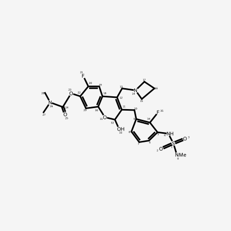 CNS(=O)(=O)Nc1cccc(CC2=C(CN3CCC3)c3cc(F)c(OC(=O)N(C)C)cc3OC2O)c1F